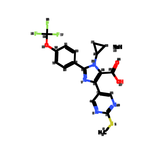 CSc1ncc(-c2nc(-c3ccc(OC(F)(F)F)cc3)n(C3CC3)c2C(=O)O)cn1.[NaH]